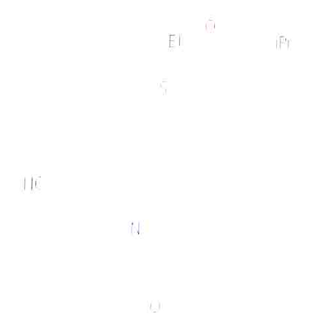 C#CCn1cc(C(CC(=O)C(C)C)SCC)ccc1=O